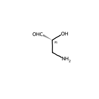 NC[C@@H](O)C=O